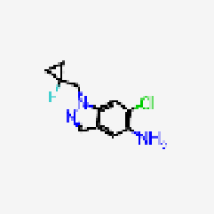 Nc1cc2cnn(CC3(F)CC3)c2cc1Cl